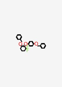 FC1(F)CCC[C@@H](OCc2ccccc2)[C@@H]1Oc1ccc(OCc2ccccc2)cc1